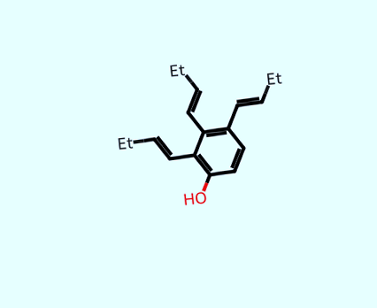 CCC=Cc1ccc(O)c(C=CCC)c1C=CCC